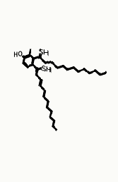 CCCCCCCCCCCCC(S)c1ccc(O)c(C)c1C(S)CCCCCCCCCCCC